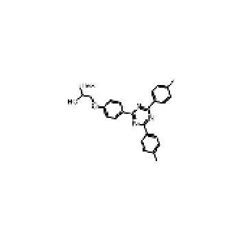 CCCCCCC(O)COc1ccc(-c2nc(-c3ccc(C)cc3)nc(-c3ccc(C)cc3)n2)cc1